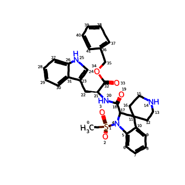 CS(=O)(=O)N1c2ccccc2C2(CCNCC2)C1C(=O)N[C@@H](Cc1c[nH]c2ccccc12)C(=O)OCc1ccccc1